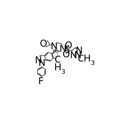 Cc1cc2c(cnn2-c2ccc(F)cc2)cc1[C@@H]1CN(S(=O)(=O)c2cnn(C)n2)CCN1C1COC1